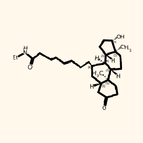 CCNC(=O)CCCCCCC[C@@H]1C[C@H]2CC(=O)CC[C@]2(C)[C@H]2CC[C@]3(C)[C@@H](O)CC[C@H]3[C@H]12